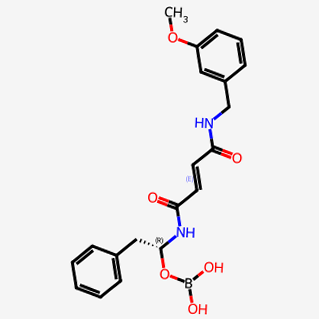 COc1cccc(CNC(=O)/C=C/C(=O)N[C@@H](Cc2ccccc2)OB(O)O)c1